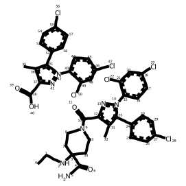 CCNC1(C(N)=O)CCN(C(=O)c2nn(-c3ccc(Cl)cc3Cl)c(-c3ccc(Cl)cc3)c2C)CC1.Cc1c(C(=O)O)nn(-c2ccc(Cl)cc2Cl)c1-c1ccc(Cl)cc1